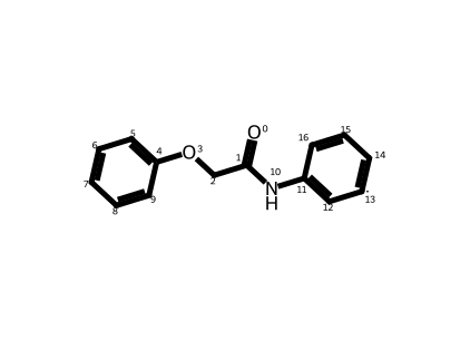 O=C(COc1ccccc1)Nc1c[c]ccc1